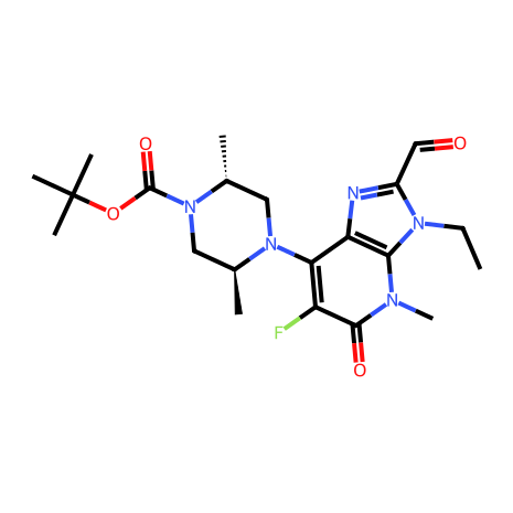 CCn1c(C=O)nc2c(N3C[C@@H](C)N(C(=O)OC(C)(C)C)C[C@@H]3C)c(F)c(=O)n(C)c21